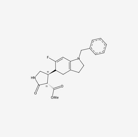 COC(=O)[C@@H]1C(=O)NC[C@H]1C1CC2=C(C=C1F)N(Cc1ccccc1)CC2